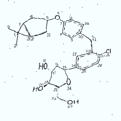 CC1(C)C2CC(Oc3ccc(Cc4cc(C5C[C@@H](O)[C@H](O)[C@@H](CO)O5)ccc4Cl)cc3)CC21